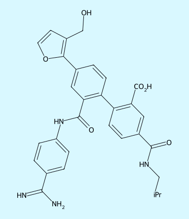 CC(C)CNC(=O)c1ccc(-c2ccc(-c3occc3CO)cc2C(=O)Nc2ccc(C(=N)N)cc2)c(C(=O)O)c1